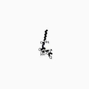 CCCCCCCCNC(=O)/C=C/c1cn(C(C)OC(COC)C(C)OC)c(=O)[nH]c1=O